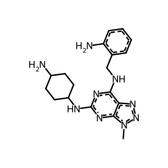 Cn1nnc2c(NCc3ccccc3N)nc(NC3CCC(N)CC3)nc21